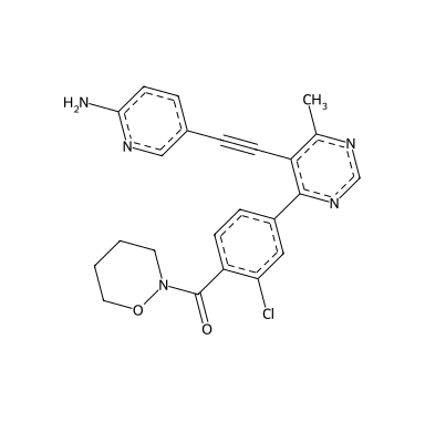 Cc1ncnc(-c2ccc(C(=O)N3CCCCO3)c(Cl)c2)c1C#Cc1ccc(N)nc1